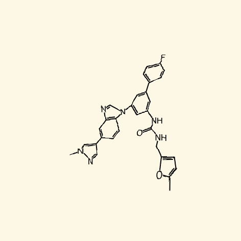 Cc1ccc(CNC(=O)Nc2cc(-c3ccc(F)cc3)cc(-n3cnc4cc(-c5cnn(C)c5)ccc43)c2)o1